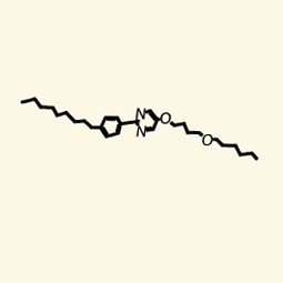 CCCCCCCCCc1ccc(-c2ncc(OCCCCOCCCCCC)cn2)cc1